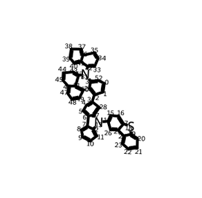 c1cc(-c2ccc3c4ccccc4n(-c4ccc5sc6ccccc6c5c4)c3c2)cc(N(c2cccc3ccccc23)c2cccc3ccccc23)c1